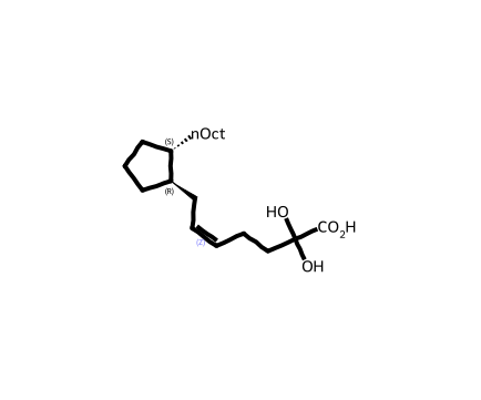 CCCCCCCC[C@H]1CCC[C@@H]1C/C=C\CCC(O)(O)C(=O)O